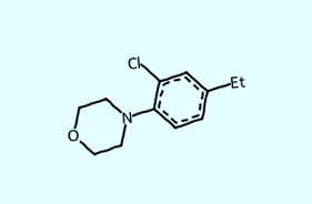 CCc1ccc(N2CCOCC2)c(Cl)c1